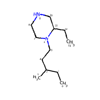 CCC(C)CCN1CCNCC1CC